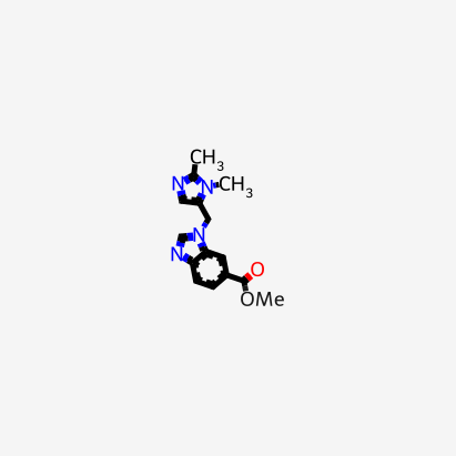 COC(=O)c1ccc2ncn(Cc3cnc(C)n3C)c2c1